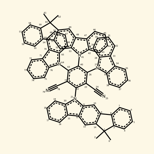 CC1(C)c2ccccc2-c2cc3c(cc21)c1ccccc1n3-c1c(C#N)c(-n2c3ccccc3c3ccccc32)c(-n2c3ccccc3c3cc4c(cc32)-c2ccccc2C4(C)C)c(-n2c3ccccc3c3ccccc32)c1C#N